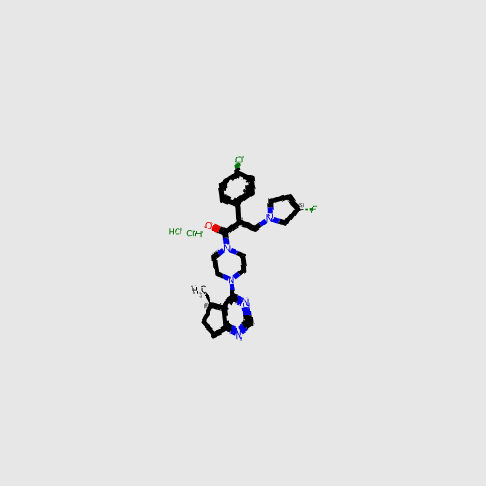 C[C@@H]1CCc2ncnc(N3CCN(C(=O)C(CN4CC[C@H](F)C4)c4ccc(Cl)cc4)CC3)c21.Cl.Cl